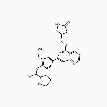 COc1cc(-c2cc3ncccc3c(OCC3CNC(=O)C3)n2)ccc1OC(C)C1CCCN1